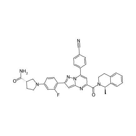 C[C@@H]1c2ccccc2CCN1C(=O)c1cc(-c2ccc(C#N)cc2)n2nc(-c3ccc(N4CC[C@H](C(N)=O)C4)cc3F)cc2n1